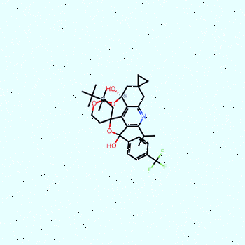 CC(C)c1nc2c(c3c1C(O)(c1ccc(C(F)(F)F)cc1)OC31CCOCC1)[C@@](O)(O[Si](C)(C)C(C)(C)C)CC1(CC1)C2